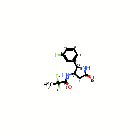 CC(F)(F)C(=O)NC1CC(=O)NC1c1cccc(F)c1